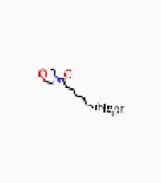 CCCCCCCCCCCCC(=O)N1CCOCC1